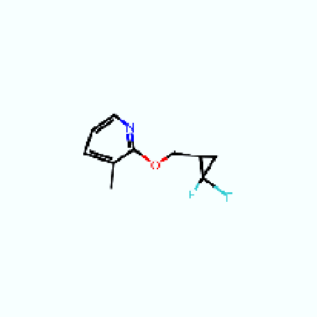 Cc1cccnc1OC[C@H]1CC1(F)F